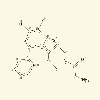 NCC(=O)N1CCc2c(sc3c(Cl)c(Cl)cc(-c4cnccn4)c23)C1